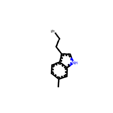 Cc1ccc2c(CCC(C)C)c[nH]c2c1